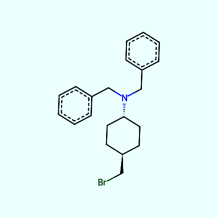 BrC[C@H]1CC[C@H](N(Cc2ccccc2)Cc2ccccc2)CC1